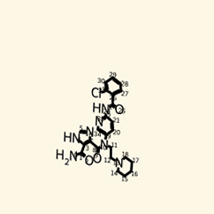 NC(=O)c1[nH]cnc1C(=O)N(CCN1CCCCC1)c1ccc(NC(=O)c2ccccc2Cl)nc1